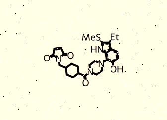 CCc1c(SC)[nH]c2c(N3CCN(C(=O)C4CCC(CN5C(=O)C=CC5=O)CC4)CC3)c(O)ccc12